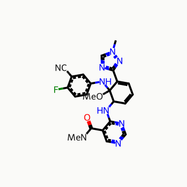 CNC(=O)c1cncnc1NC1C=CC=C(c2ncn(C)n2)C1(Nc1ccc(F)c(C#N)c1)OC